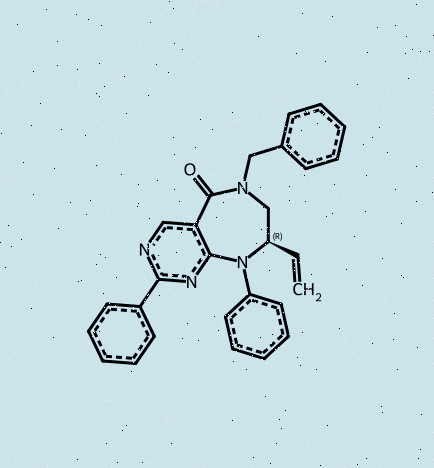 C=C[C@@H]1CN(Cc2ccccc2)C(=O)c2cnc(-c3ccccc3)nc2N1c1ccccc1